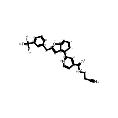 N#CCCNC(=O)c1ccnc(-c2cccc3oc(Cc4cccc(C(F)(F)F)c4)cc23)c1